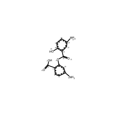 Nc1ccc(C(=O)O)c(OC(=O)c2cc(N)ccc2O)c1